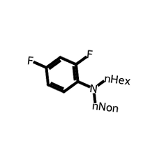 CCCCCCCCCN(CCCCCC)c1ccc(F)cc1F